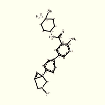 CC(C)N1CC2=C[C@]2(c2ccc(-c3cnc(N)c(C(=O)N[C@H]4CC[C@](C)(O)CC4)c3)cc2)C1